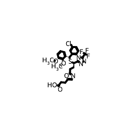 COc1cccc([C@H]2S[C@H](CCc3ncc(CCC(=O)O)o3)c3nnc(C(F)(F)F)n3-c3ccc(Cl)cc32)c1OC